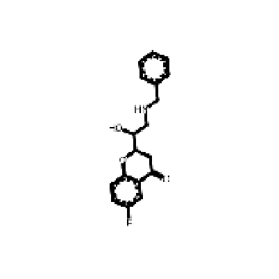 O=C1CC(C(O)CNCc2ccccc2)Oc2ccc(F)cc21